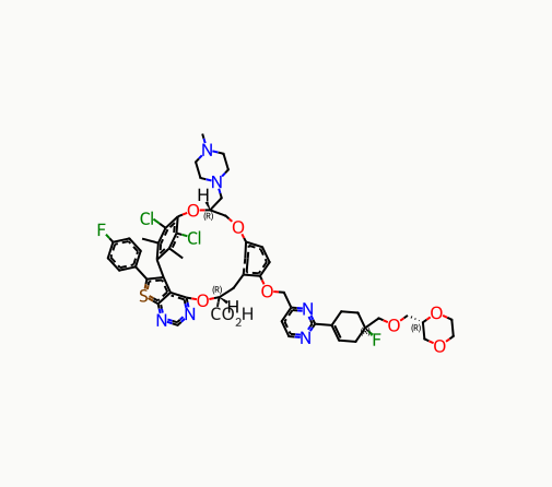 Cc1c(Cl)c2c(Cl)c(C)c1-c1c(-c3ccc(F)cc3)sc3ncnc(c13)O[C@@H](C(=O)O)Cc1cc(ccc1OCc1ccnc(C3=CC[C@@](F)(COC[C@H]4COCCO4)CC3)n1)OC[C@@H](CN1CCN(C)CC1)O2